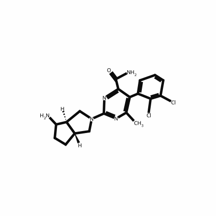 Cc1nc(N2C[C@@H]3CCC(N)[C@H]3C2)nc(C(N)=O)c1-c1cccc(Cl)c1Cl